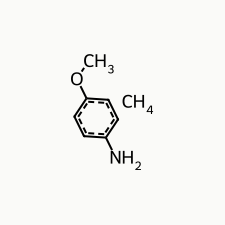 C.COc1ccc(N)cc1